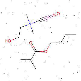 C=C(C)C(=O)OCCCC.C[N+](C)(C#P=O)CCO